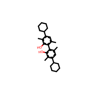 Cc1cc(C2CCCCC2)c(C)c(O)c1-c1c(C)cc(C2CCCCC2)c(C)c1O